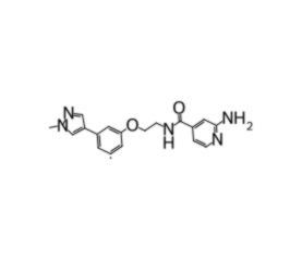 Cn1cc(-c2c[c]cc(OCCNC(=O)c3ccnc(N)c3)c2)cn1